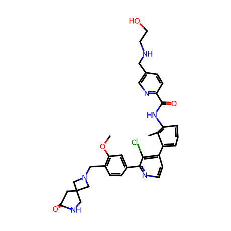 COc1cc(-c2nccc(-c3cccc(NC(=O)c4ccc(CNCCO)cn4)c3C)c2Cl)ccc1CN1CC2(CNC(=O)C2)C1